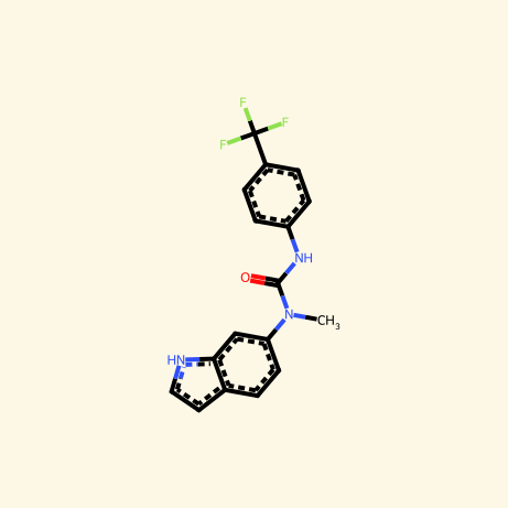 CN(C(=O)Nc1ccc(C(F)(F)F)cc1)c1ccc2cc[nH]c2c1